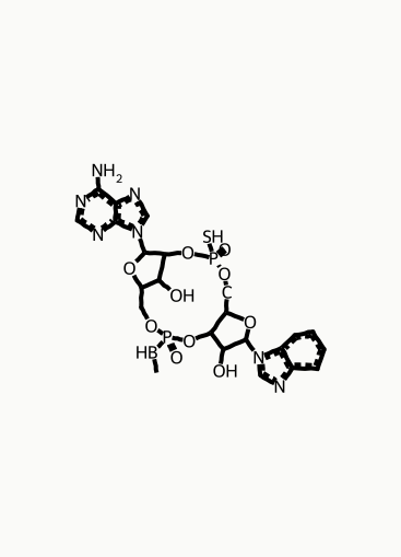 CBP1(=O)OCC2OC(n3cnc4c(N)ncnc43)C(OP(=O)(S)OCC3OC(n4cnc5ccccc54)C(O)C3O1)C2O